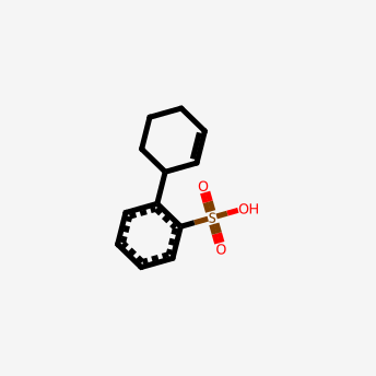 O=S(=O)(O)c1ccccc1C1C=CCCC1